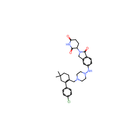 CC1(C)CCC(CN2CCN(Nc3ccc4c(c3)CN(C3CCC(=O)NC3=O)C4=O)CC2)=C(c2ccc(Cl)cc2)C1